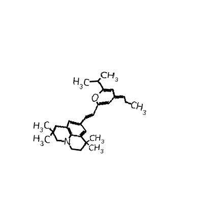 CCC=C1C=C(C=Cc2cc3c4c(c2)C(C)(C)CCN4CC(C)(C)C3)OC(C(C)C)=C1